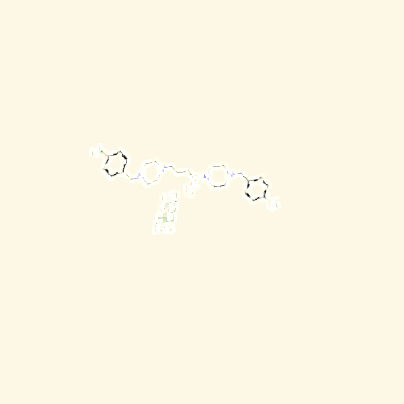 Cl.Cl.Cl.Cl.[O-][S+](CCCN1CCN(Cc2ccc(Cl)cc2)CC1)N1CCN(Cc2ccc(Cl)cc2)CC1